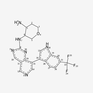 NC1CCOCC1Nc1ncc2cncc(-c3c[nH]c4cc(C(F)(F)F)ccc34)c2n1